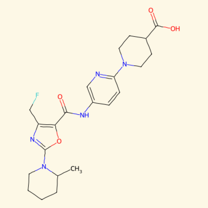 CC1CCCCN1c1nc(CF)c(C(=O)Nc2ccc(N3CCC(C(=O)O)CC3)nc2)o1